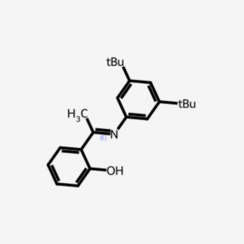 C/C(=N\c1cc(C(C)(C)C)cc(C(C)(C)C)c1)c1ccccc1O